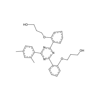 Cc1ccc(-c2nc(-c3ccccc3OCCCO)nc(-c3ccccc3OCCCO)n2)c(C)c1